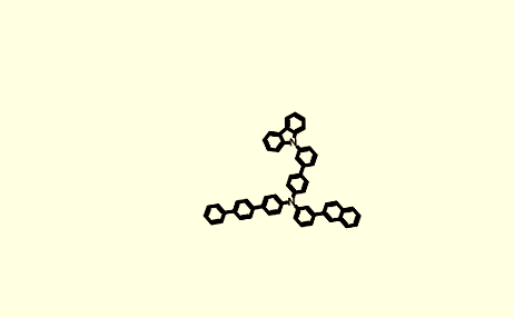 c1ccc(-c2ccc(-c3ccc(N(c4ccc(-c5cccc(-n6c7ccccc7c7ccccc76)c5)cc4)c4cccc(-c5ccc6ccccc6c5)c4)cc3)cc2)cc1